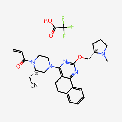 C=CC(=O)N1CCN(c2nc(OC[C@@H]3CCCN3C)nc3c2CCc2ccccc2-3)C[C@@H]1CC#N.O=C(O)C(F)(F)F